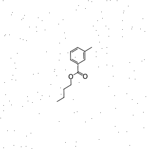 CCCCOC(=O)c1cccc(C)c1